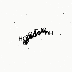 O=C1O[C@@H](CN(C(=O)O)c2ccon2)CN1c1ccc(-c2ccc(C3=NOC(CO)C3)cc2F)c(F)c1